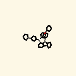 c1ccc(-c2ccc(N(c3ccc(-c4ccccc4)cc3)c3cccc4c5ccccc5n(-c5ccccc5)c34)cc2)cc1